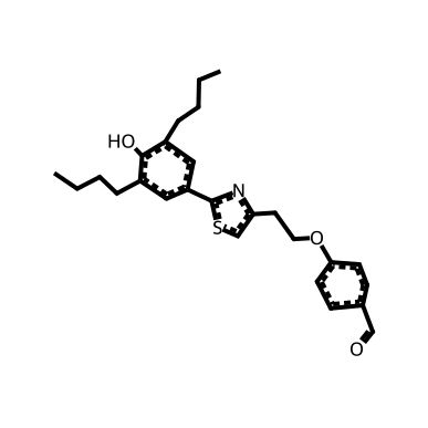 CCCCc1cc(-c2nc(CCOc3ccc(C=O)cc3)cs2)cc(CCCC)c1O